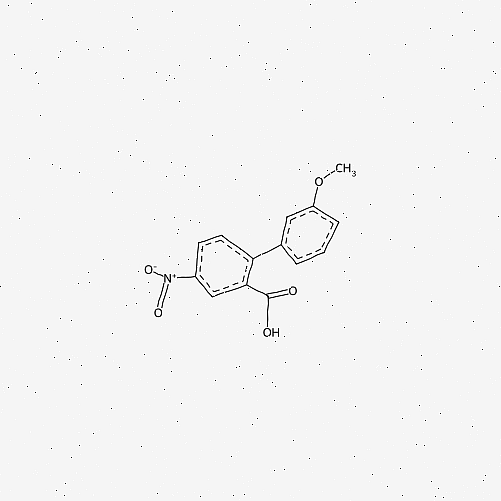 COc1cccc(-c2ccc([N+](=O)[O-])cc2C(=O)O)c1